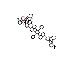 CC12CCCCC1(C)N(c1cccc(F)c1)c1ccc(-c3ccc4c5c(-c6ccccc6)c6c7ccc(-c8ccc9c(c8)C8(C)CCCCC8(C)N9c8cccc(F)c8)c8c(-c9ccc%10c(c9)C9(C)CCCCC9(C)N%10c9cccc(F)c9)ccc(c6c(-c6ccccc6)c5c5cccc3c54)c87)cc12